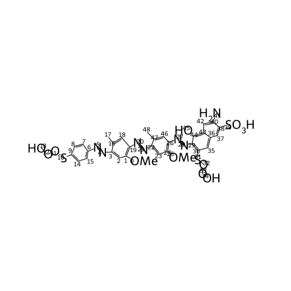 COc1cc(N=Nc2ccc(SOOO)cc2)c(C)cc1N=Nc1cc(OC)c(N=Nc2c(SOOO)cc3cc(S(=O)(=O)O)c(N)cc3c2O)cc1C